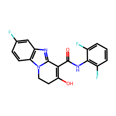 O=C(Nc1c(F)cccc1F)C1=C(O)CCn2c1nc1cc(F)ccc12